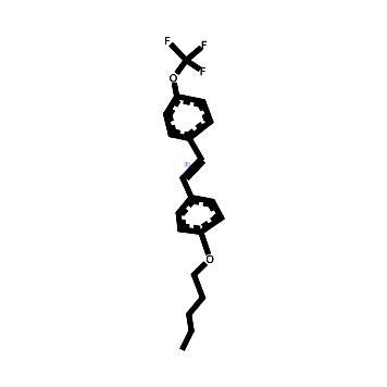 CCCCCOc1ccc(/C=C/c2ccc(OC(F)(F)F)cc2)cc1